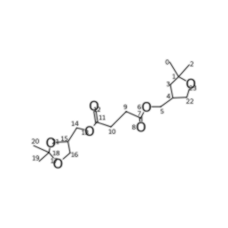 CC1(C)CC(COC(=O)CCC(=O)OCC2COC(C)(C)O2)CO1